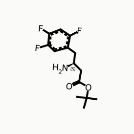 CC(C)(C)OC(=O)C[C@@H](N)Cc1cc(F)c(F)cc1F